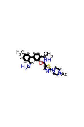 CC(=O)N1CCN(c2ncc(C(=O)N[C@H](C)c3ccc(-c4cc(C(F)(F)F)ccc4CN)cc3)s2)CC1